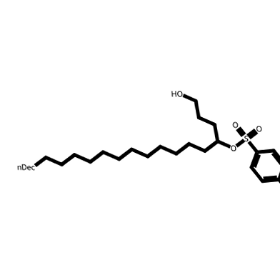 CCCCCCCCCCCCCCCCCCCCCCC(CCCO)OS(=O)(=O)c1ccc(C)cc1